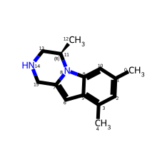 Cc1cc(C)c2cc3n(c2c1)[C@H](C)CNC3